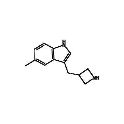 Cc1ccc2[nH]cc(CC3CNC3)c2c1